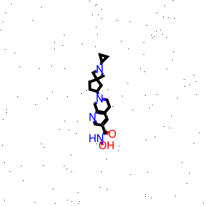 O=C(NO)c1cnc2c(c1)CCN(C1CCC3(C1)CN(C1CC1)C3)C2